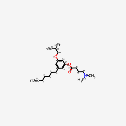 CCCCCCCCCCCCCCCc1cc(OCC(CC)CCCC)cc(OC(=O)CCCN(C)C)c1